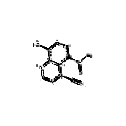 N#Cc1ccnc2c(O)ccc([N+](=O)[O-])c12